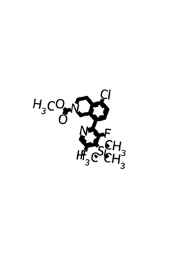 COC(=O)N1CCc2c(Cl)ccc(-c3ncc(F)c([Si](C)(C)C)c3F)c2C1